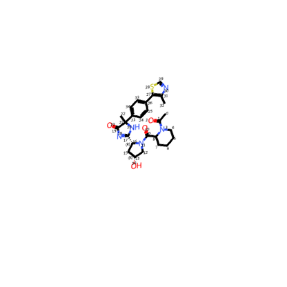 CC(=O)N1CCCCC1C(=O)N1C[C@H](O)C[C@@H]1C1=NC(=O)C(C)(c2ccc(-c3scnc3C)cc2)N1